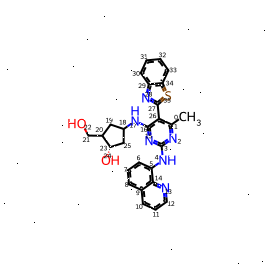 Cc1nc(Nc2cccc3cccnc23)nc(NC2CC(CO)[C@@H](O)C2)c1-c1nc2ccccc2s1